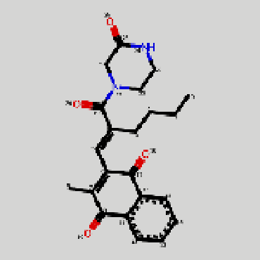 CCCC/C(=C\C1=C(C)C(=O)c2ccccc2C1=O)C(=O)N1CCNC(=O)C1